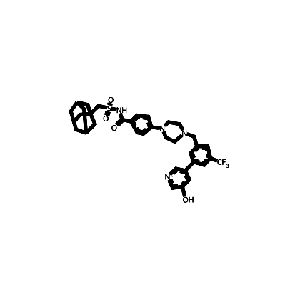 O=C(NS(=O)(=O)CC12CC3CC(CC(C3)C1)C2)c1ccc(N2CCN(Cc3cc(-c4cncc(O)c4)cc(C(F)(F)F)c3)CC2)cc1